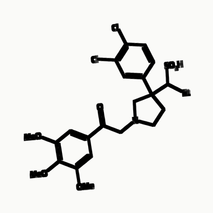 CCC(C1(c2ccc(Cl)c(Cl)c2)CCN(CC(=O)c2cc(OC)c(OC)c(OC)c2)C1)S(=O)(=O)O